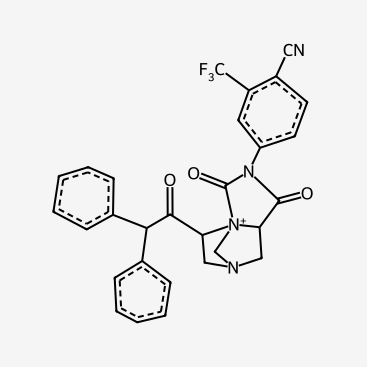 N#Cc1ccc(N2C(=O)C3CN4CC(C(=O)C(c5ccccc5)c5ccccc5)[N+]3(C4)C2=O)cc1C(F)(F)F